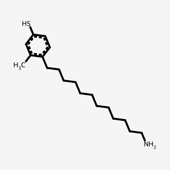 Cc1cc(S)ccc1CCCCCCCCCCCCN